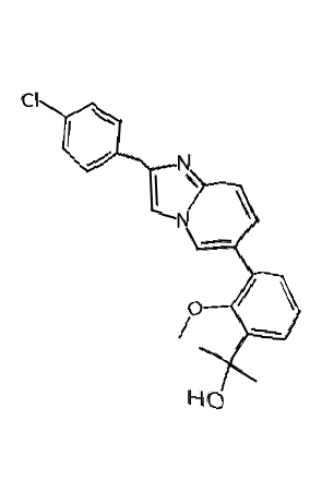 COc1c(-c2ccc3nc(-c4ccc(Cl)cc4)cn3c2)cccc1C(C)(C)O